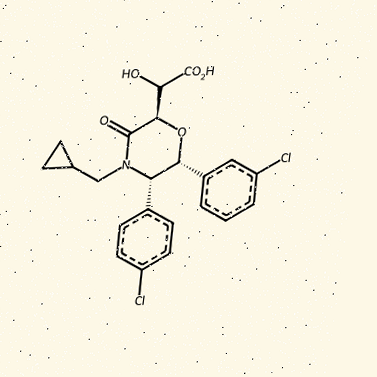 O=C(O)C(O)[C@H]1O[C@H](c2cccc(Cl)c2)[C@H](c2ccc(Cl)cc2)N(CC2CC2)C1=O